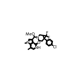 COC(c1cn(C)c2c(C)c[nH]c(=O)c12)N1CCC2(c3ccc(Cl)cc3)C(C1)C2(F)F